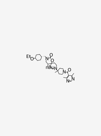 CCCCC1CN(C[C@H]2CC[C@H](OCC)CC2)C(=O)OC12CCN(C1(C)CCN(C(=O)c3c(C)ncnc3C)CC1)CC2